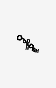 O=C(N[C@@H]1CCC2(CNC2)C1)OCc1ccccc1